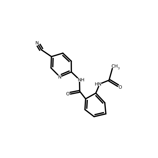 CC(=O)Nc1ccccc1C(=O)Nc1ccc(C#N)cn1